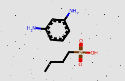 CCCCS(=O)(=O)O.Nc1cccc(N)c1